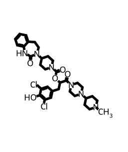 CN1CCC(N2CCN(C(=O)C(Cc3cc(Cl)c(O)c(Cl)c3)OC(=O)N3CCC(N4CCc5ccccc5NC4=O)CC3)CC2)CC1